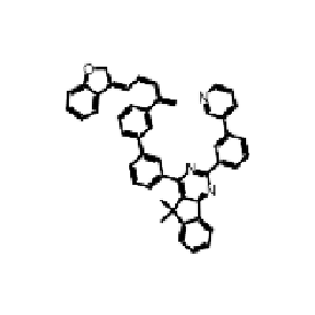 C=C(/C=C\C=C1/COc2ccccc21)c1cccc(-c2cccc(-c3nc(-c4cccc(-c5cccnc5)c4)nc4c3C(C)(C)c3ccccc3-4)c2)c1